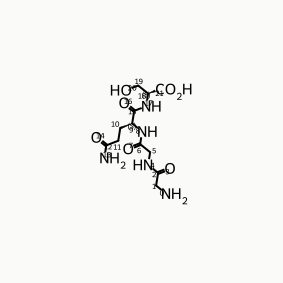 NCC(=O)NCC(=O)N[C@@H](CCC(N)=O)C(=O)N[C@@H](CO)C(=O)O